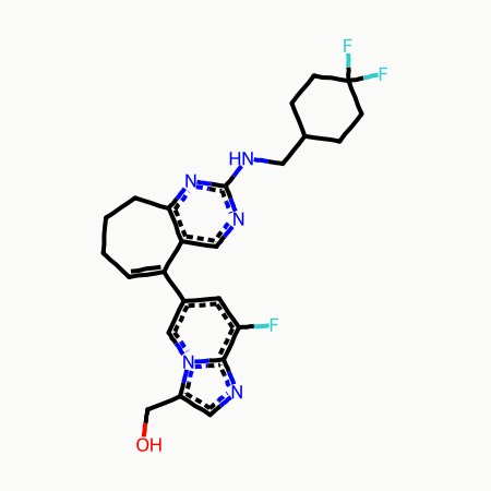 OCc1cnc2c(F)cc(C3=CCCCc4nc(NCC5CCC(F)(F)CC5)ncc43)cn12